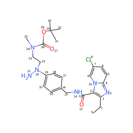 CCc1nc2ccc(Cl)cn2c1C(=O)NCc1ccc(N(N)CCN(C)C(=O)OC(C)(C)C)cc1